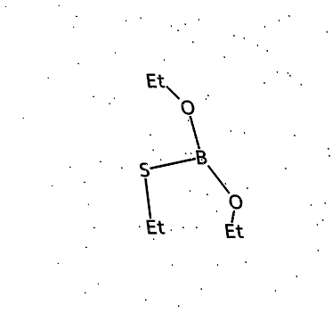 CCOB(OCC)SCC